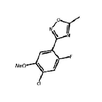 COc1cc(-c2noc(C)n2)c(F)cc1Cl